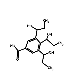 CCC(O)c1cc(C(=O)O)cc(C(O)CC)c1C(O)CC